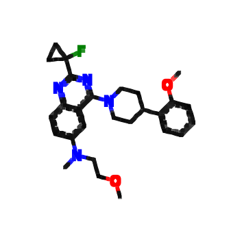 COCCN(C)c1ccc2nc(C3(F)CC3)nc(N3CCC(c4ccccc4OC)CC3)c2c1